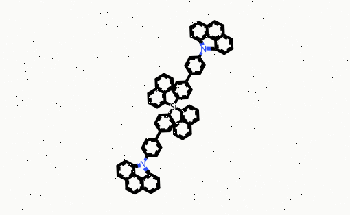 c1ccc2c([Si](c3ccc(-c4ccc(-n5c6cccc7ccc8cccc5c8c76)cc4)cc3)(c3ccc(-c4ccc(-n5c6cccc7ccc8cccc5c8c76)cc4)cc3)c3cccc4ccccc34)cccc2c1